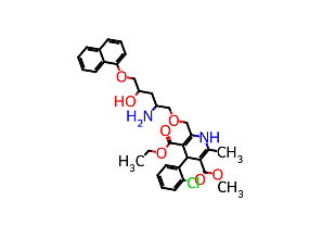 CCOC(=O)C1=C(COCC(N)CC(O)COc2cccc3ccccc23)NC(C)=C(C(=O)OC)C1c1ccccc1Cl